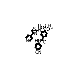 CS(=O)(=O)c1ccc(C(=O)Nc2ccc(C#N)cc2)cc1Nc1nc(-c2ccncc2)cs1